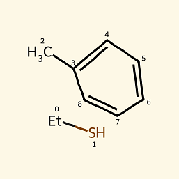 CCS.Cc1ccccc1